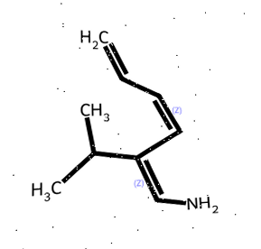 C=C/C=C\C(=C/N)C(C)C